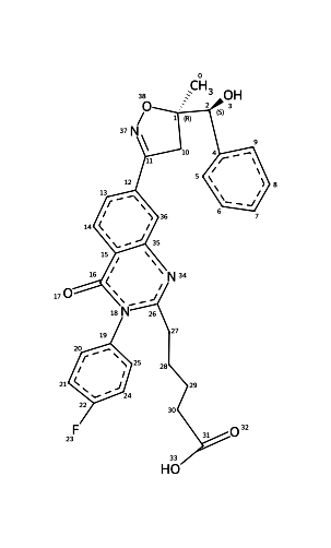 C[C@]1([C@@H](O)c2ccccc2)CC(c2ccc3c(=O)n(-c4ccc(F)cc4)c(CCCCC(=O)O)nc3c2)=NO1